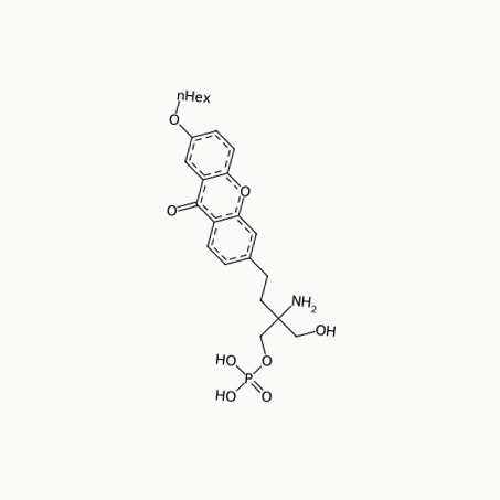 CCCCCCOc1ccc2oc3cc(CCC(N)(CO)COP(=O)(O)O)ccc3c(=O)c2c1